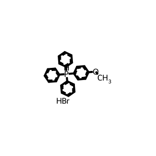 Br.COc1ccc([PH](c2ccccc2)(c2ccccc2)c2ccccc2)cc1